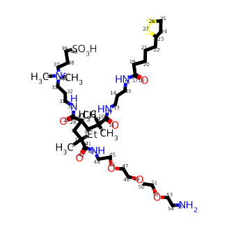 CCC(C)(CC(C)(CC(C)(C)C(=O)NCCCNC(=O)CCCCC1CCSS1)C(=O)NCCC[N+](C)(C)CCCS(=O)(=O)O)C(=O)NCCOCCOCCOCCN